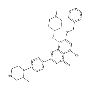 CC1CNCCN1c1ccc(-c2cc(=O)c3c(O)cc(OCc4ccccc4)c(OC4CCN(C)CC4)c3o2)cc1